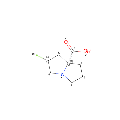 O=C(O)[C@]12CCCN1C[C@H](F)C2